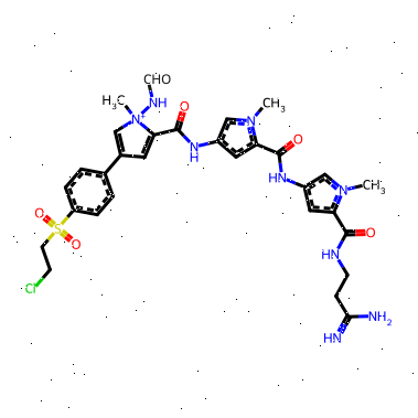 Cn1cc(NC(=O)c2cc(NC(=O)C3=CC(c4ccc(S(=O)(=O)CCCl)cc4)=C[N+]3(C)NC=O)cn2C)cc1C(=O)NCCC(=N)N